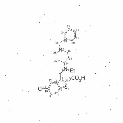 CCN(Cc1c(C(=O)O)sc2ccc(Cl)cc12)C1CCN(Cc2ccccc2)CC1